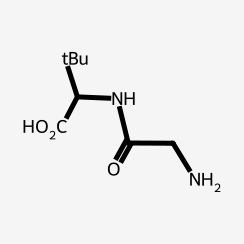 CC(C)(C)C(NC(=O)CN)C(=O)O